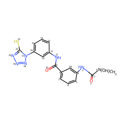 CN(O)C(=O)Nc1cccc(C(=O)Nc2cccc(-n3nnnc3S)c2)c1